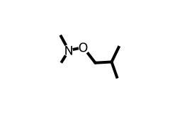 CC(C)CON(C)C